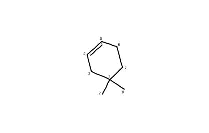 CC1(C)CC=[C]CC1